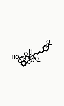 CCOC(=O)C(CCCCC1CCN(C(C)=O)CC1)N[C@H]1COc2ccccc2N(CC(=O)O)C1=O